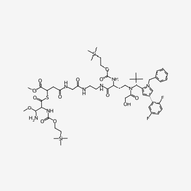 COC(=O)C(CC(=O)NCC(=O)NCCNC(=O)C(CCN(C(=O)CO)C(c1cc(-c2cc(F)ccc2F)cn1Cc1ccccc1)C(C)(C)C)NC(=O)OCC[Si](C)(C)C)SC(=O)C(NC(=O)OCC[Si](C)(C)C)C(N)OC